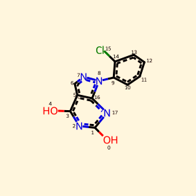 Oc1nc(O)c2cnn(-c3ccccc3Cl)c2n1